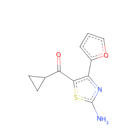 Nc1nc(-c2ccco2)c(C(=O)C2CC2)s1